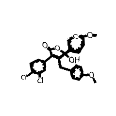 COc1ccc(CC2=C(c3ccc(Cl)c(Cl)c3)C(=O)OC2(O)c2ccc(OC)cc2)cc1